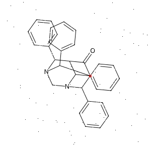 O=C1C2C(c3ccccc3)N3CN(C2c2ccccc2)C(c2ccccc2)C1C3c1ccccc1